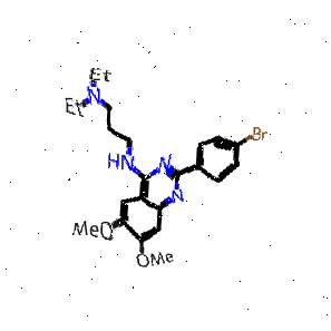 CCN(CC)CCCNc1nc(-c2ccc(Br)cc2)nc2cc(OC)c(OC)cc12